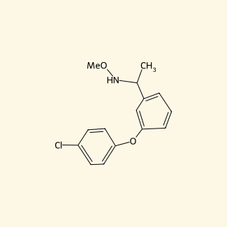 CONC(C)c1cccc(Oc2ccc(Cl)cc2)c1